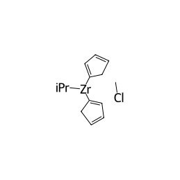 CCl.C[CH](C)[Zr]([C]1=CC=CC1)[C]1=CC=CC1